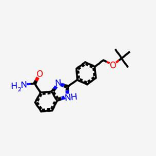 CC(C)(C)OCc1ccc(-c2nc3c(C(N)=O)cccc3[nH]2)cc1